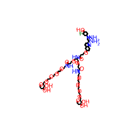 N/C(=C\N(N)c1ccc(O)c(F)c1)c1ccc2cc(OCCCC(=O)NC(COCCC(=O)NCCOCCOCCOCCOCC3OCCC(O)C3O)COCCC(=O)NCCOCCOCCOCCOCC3OCCC(O)C3O)ccc2n1